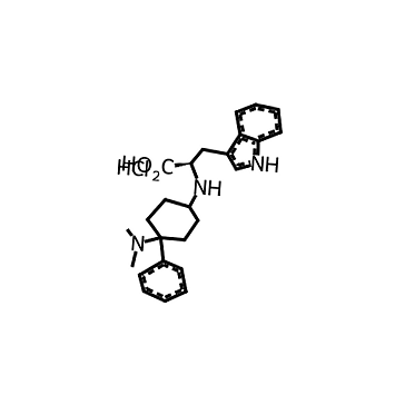 CN(C)C1(c2ccccc2)CCC(N[C@H](Cc2c[nH]c3ccccc23)C(=O)O)CC1.Cl